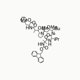 CCC(C)C(C(CC(=O)N1CCC[C@H]1C(OC)C(C)C(=O)NC(Cc1ccccc1)C(=O)OC)OC)N(C)C(=O)C(NC(=O)C(C)(C)NC(=O)OCC1c2ccccc2-c2ccccc21)C(C)C